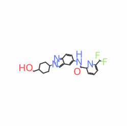 O=C(Nc1ccc2nn(C3CCC(CO)CC3)cc2c1)c1cccc(C(F)F)n1